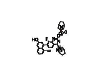 C#Cc1cccc2cc(O)cc(-c3ccc4c(N5CC6CCC(C5)N6)nc(OCC5(CN6C7CCC6CC(=O)C7)CC5)nc4c3F)c12